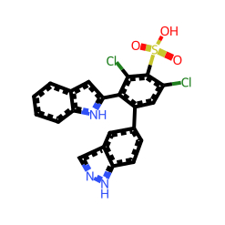 O=S(=O)(O)c1c(Cl)cc(-c2ccc3[nH]ncc3c2)c(-c2cc3ccccc3[nH]2)c1Cl